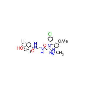 COc1ccc2c(c1)C(c1ccc(Cl)cc1)=N[C@@H](CC(=O)NCCNC(=O)c1cccc(C(C)(C)O)c1)c1nnc(C)n1-2